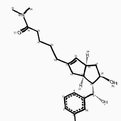 Cc1cccc([C@@H](O)[C@@H]2[C@H]3CC(CCCCC(=O)N(C)C)=C[C@H]3C[C@H]2O)c1